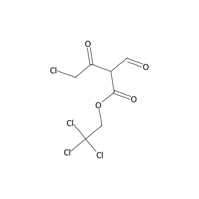 O=CC(C(=O)CCl)C(=O)OCC(Cl)(Cl)Cl